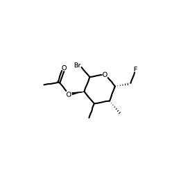 CC(=O)O[C@H]1C(Br)O[C@H](CF)[C@H](C)C1C